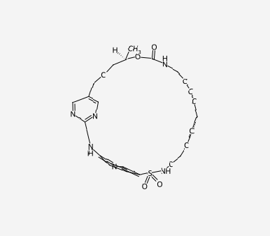 C[C@@H]1CCCc2cnc(nc2)Nc2ccc(cn2)S(=O)(=O)NCCCCCCCCCNC(=O)O1